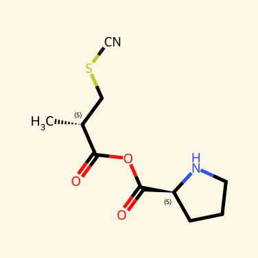 C[C@H](CSC#N)C(=O)OC(=O)[C@@H]1CCCN1